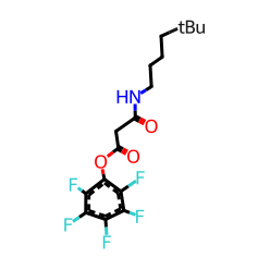 CC(C)(C)CCCCNC(=O)CC(=O)Oc1c(F)c(F)c(F)c(F)c1F